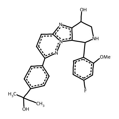 COc1cc(F)ccc1C1NCC(O)c2nc3ccc(-c4ccc(C(C)(C)O)cc4)nn3c21